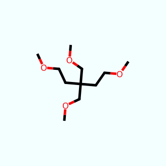 COCCC(CCOC)(COC)COC